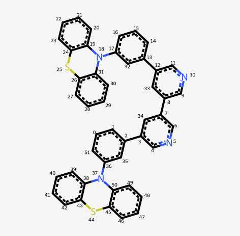 c1cc(-c2cncc(-c3cncc(-c4cccc(N5c6ccccc6Sc6ccccc65)c4)c3)c2)cc(N2c3ccccc3Sc3ccccc32)c1